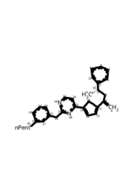 C=C(C[C@H](C)c1ccccc1)C1=CC=C(c2ccnc(Cc3cccc(CCCCC)c3)n2)C1